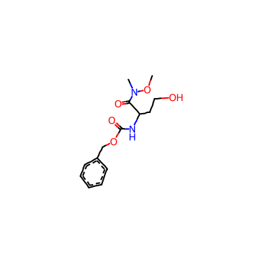 CON(C)C(=O)C(CCO)NC(=O)OCc1ccccc1